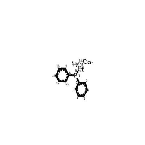 CCP(c1ccccc1)c1ccccc1.Cl.[Co]